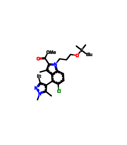 CCc1nn(C)c(C)c1-c1c(Cl)ccc2c1c(C)c(C(=O)OC)n2CCCO[Si](C)(C)C(C)(C)C